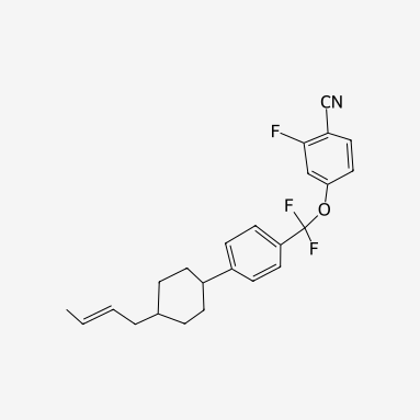 CC=CCC1CCC(c2ccc(C(F)(F)Oc3ccc(C#N)c(F)c3)cc2)CC1